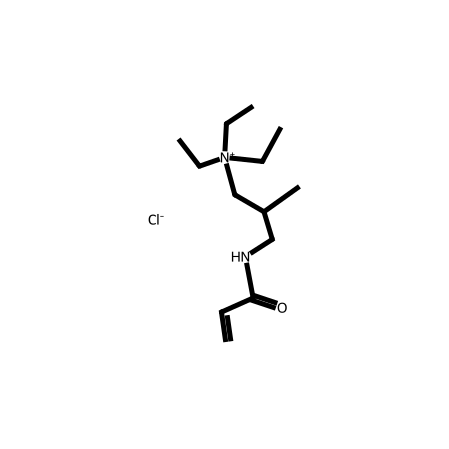 C=CC(=O)NCC(C)C[N+](CC)(CC)CC.[Cl-]